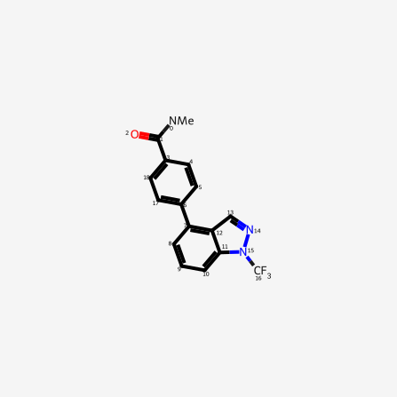 CNC(=O)c1ccc(-c2cccc3c2cnn3C(F)(F)F)cc1